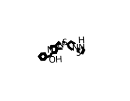 OC(c1ccccc1)c1cc2c(cn1)CN(SC1CCN(C3NC=CS3)CC1)C2